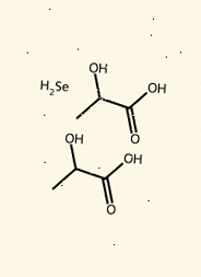 CC(O)C(=O)O.CC(O)C(=O)O.[SeH2]